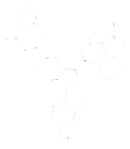 CC(c1ccn[nH]1)N(C)C(=O)C1CCc2c(-c3ccc(C(=O)O)cc3F)nn(C(=O)c3c(Cl)cccc3C3(N(F)F)CC3)c2C1